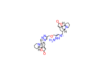 NN/C(=C\N=C/C1CC2=CC(=O)O[C@@]23C[C@@H]1N1CCCC[C@@H]13)COCc1cn([C@@H]2CC3=CC(=O)O[C@@]34C[C@@H]2N2CCCC[C@@H]24)nn1